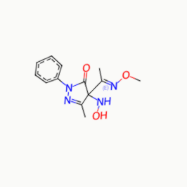 CO/N=C(\C)C1(NO)C(=O)N(c2ccccc2)N=C1C